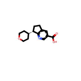 O=C(O)c1cnc2c(c1)CC[C@H]2C1CCOCC1